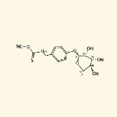 C[C@@H]1O[C@@H](Oc2ccc(CNC(=S)OC#N)cc2)[C@H](O)[C@H](O)[C@H]1O